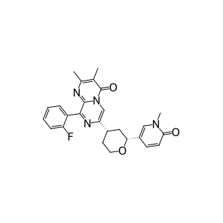 Cc1nc2c(-c3ccccc3F)nc([C@H]3CCO[C@@H](c4ccc(=O)n(C)c4)C3)cn2c(=O)c1C